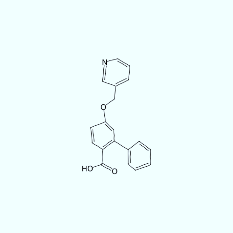 O=C(O)c1ccc(OCc2cccnc2)cc1-c1ccccc1